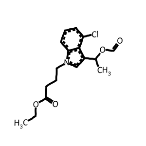 CCOC(=O)CCCn1cc(C(C)OC=O)c2c(Cl)cccc21